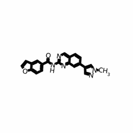 Cn1cc(-c2ccc3cnc(NC(=O)c4ccc5occc5c4)nc3c2)cn1